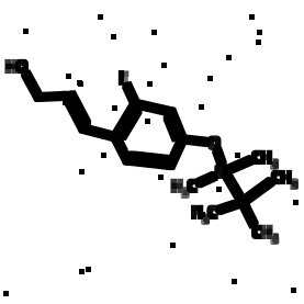 CC(C)(C)[Si](C)(C)Oc1ccc(C=CCO)c(F)c1